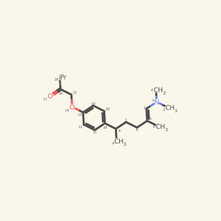 CC(=CN(C)C)CCC(C)c1ccc(OCC(=O)C(C)C)cc1